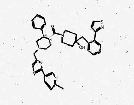 Cc1ccc(-c2ncc(CN3CC[C@@H](C(=O)N4CCC(O)(Cc5ccccc5-c5ccsn5)CC4)[C@H](c4ccccc4)C3)s2)cn1